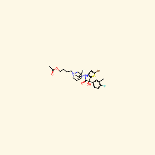 CC(=O)OCCCC[N+]12CCC(CC1)[C@@H](NC(=O)C(O)(c1ccc(F)c(C)c1)c1ccc(Br)s1)C2